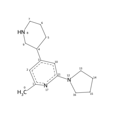 Cc1cc(C2CCCNC2)cc(N2CCCC2)n1